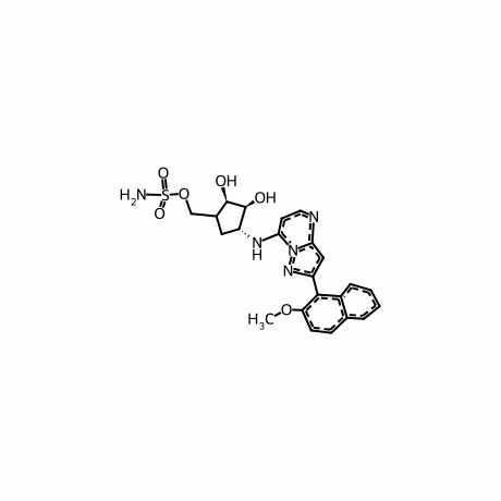 COc1ccc2ccccc2c1-c1cc2nccc(N[C@@H]3CC(COS(N)(=O)=O)[C@@H](O)[C@H]3O)n2n1